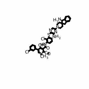 CN1C=C(c2cccc(Cl)c2)C(O)=C(C(=O)Nc2cccc(Sc3ncc(N4CCC5(CC4)Cc4ccccc4[C@H]5N)nc3N)c2Cl)C1=C=O